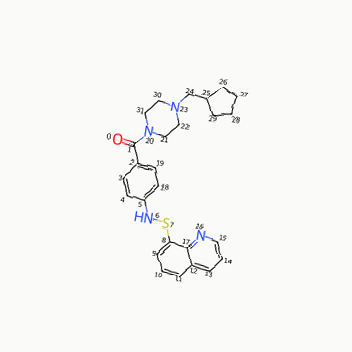 O=C(c1ccc(NSc2cccc3cccnc23)cc1)N1CCN(CC2CCCC2)CC1